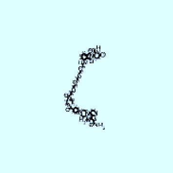 NC(=O)c1sc2nccc(N3CCCN(c4ccc(C(=O)N5CCN(C(=O)CCOCCOCCOCCOCCNc6cccc7c6C(=O)N(C6CCC(=O)NC6=O)C7=O)CC5)cc4)CC3)c2c1N